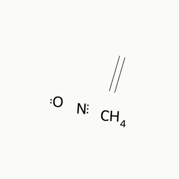 C.C=C.[N].[O]